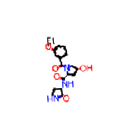 CCOc1cccc(C(=O)N2C[C@H](O)C[C@H]2C(=O)N[C@H]2CCNC2=O)c1